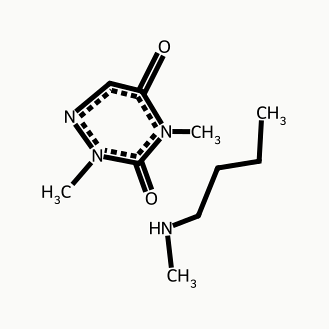 CCCCNC.Cn1ncc(=O)n(C)c1=O